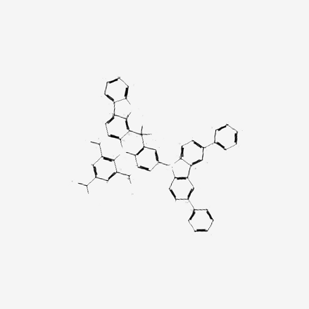 CC(C)c1cc(C(C)C)c(B2c3ccc(-n4c5ccc(-c6ccccc6)cc5c5cc(-c6ccccc6)ccc54)cc3C(C)(C)c3c2ccc2c3oc3ccccc32)c(C(C)C)c1